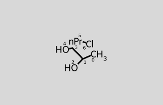 CC(O)CO.CCCCl